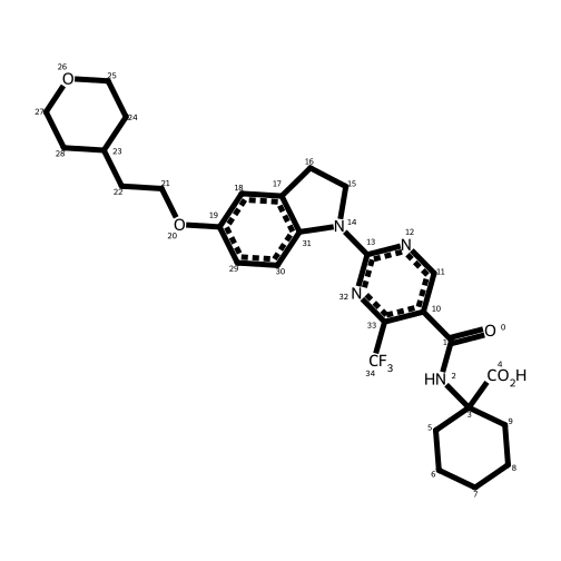 O=C(NC1(C(=O)O)CCCCC1)c1cnc(N2CCc3cc(OCCC4CCOCC4)ccc32)nc1C(F)(F)F